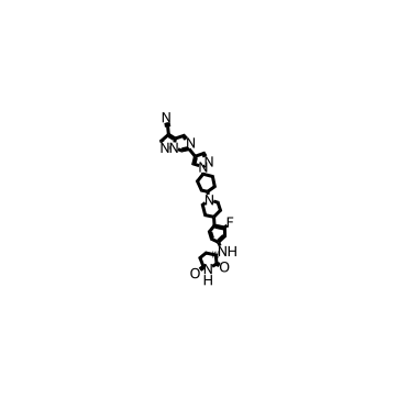 N#Cc1cnn2cc(-c3cnn(C4CCC(N5CCC(c6ccc(N[C@H]7CCC(=O)NC7=O)cc6F)CC5)CC4)c3)ncc12